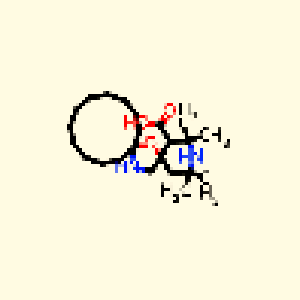 CC1(C)CC2(CNC3(CCCCCCCCCCC3)O2)C(C(=O)O)C(C)(C)N1